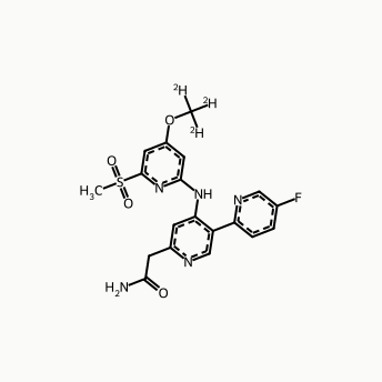 [2H]C([2H])([2H])Oc1cc(Nc2cc(CC(N)=O)ncc2-c2ccc(F)cn2)nc(S(C)(=O)=O)c1